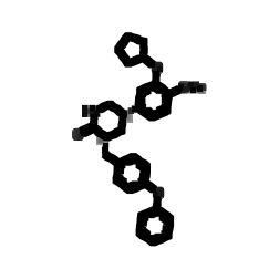 COc1ccc([C@H]2CNC(=O)[C@@H](Cc3ccc(Oc4ccccc4)cc3)C2)cc1OC1CCCC1